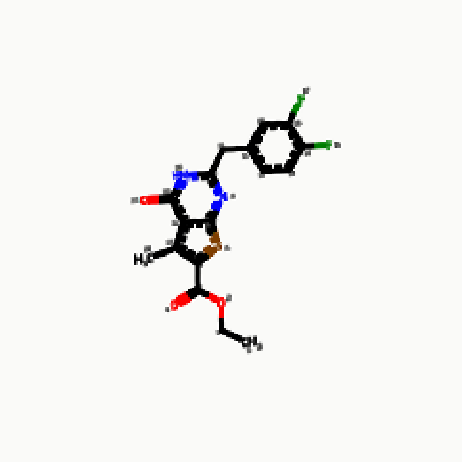 CCOC(=O)c1sc2nc(Cc3ccc(F)c(F)c3)[nH]c(=O)c2c1C